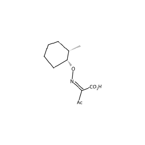 CC(=O)C(=NO[C@@H]1CCCC[C@@H]1C)C(=O)O